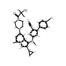 Cc1cc(N2CCN(C(=O)C(C)(C)O)CC2)cc2c(N(C)c3nc(-c4ccc(F)cc4)c(C#N)s3)c(C3CC3)nn12